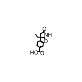 CCC1(c2ccc(C(=O)O)cc2)CC(=O)NC1=O